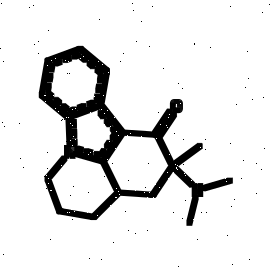 CN(C)C1(C)CC2CCCn3c2c(c2ccccc23)C1=O